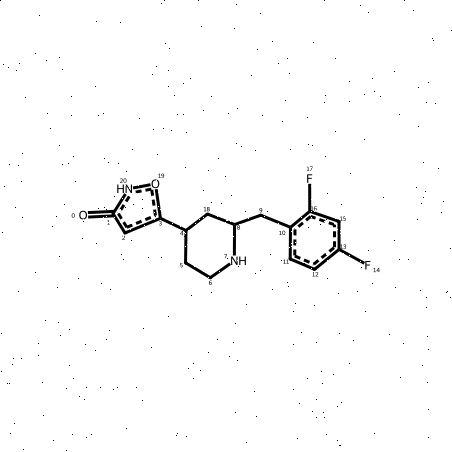 O=c1cc(C2CCNC(Cc3ccc(F)cc3F)C2)o[nH]1